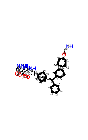 C.C.CC(c1ccccc1)c1ccccc1.N=C=O.N=C=O.N=C=O.N=C=O.N=C=O.N=C=O.c1ccccc1.c1ccccc1